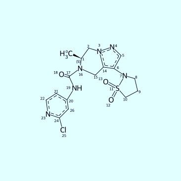 C[C@H]1Cn2ncc(N3CCCS3(=O)=O)c2CN1C(=O)Nc1ccnc(Cl)c1